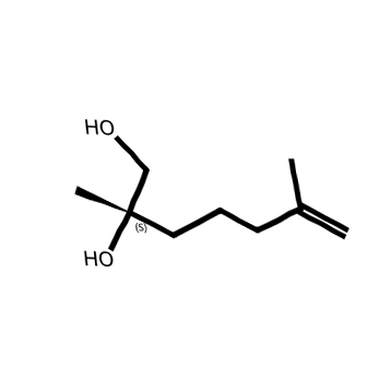 C=C(C)CCC[C@](C)(O)CO